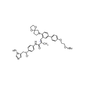 CCCCOCCOc1ccc(-c2ccc(N3CCC4(C3)OCCO4)c(/C=C(\C)C(=O)Nc3ccc([S+]([O-])Cc4cncn4CCC)cc3)c2)cc1